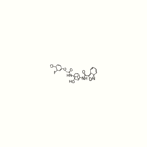 O=C(COc1ccc(Cl)c(F)c1)NC12CCC(NC(=O)c3onc4ccccc34)(CC1)CC2O